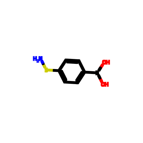 NSc1ccc(B(O)O)cc1